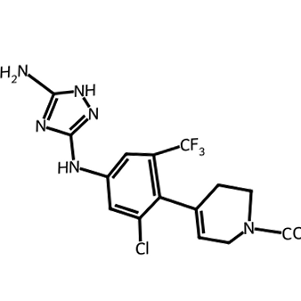 Nc1nc(Nc2cc(Cl)c(C3=CCN(C(=O)O)CC3)c(C(F)(F)F)c2)n[nH]1